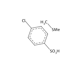 CSC.O=S(=O)(O)c1ccc(Cl)cc1